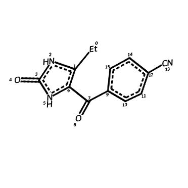 CCc1[nH]c(=O)[nH]c1C(=O)c1ccc(C#N)cc1